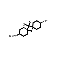 CCCCCC1CC[C@]2(CC1)C[C@@]1(CC[C@H](CCC)CC1)C2(Cl)Cl